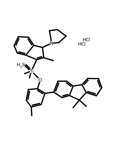 CC1=[C]([Ti]([CH3])([CH3])(=[SiH2])[O]c2ccc(C)cc2-c2ccc3c(c2)C(C)(C)c2ccccc2-3)c2ccccc2C1N1CCCC1.Cl.Cl